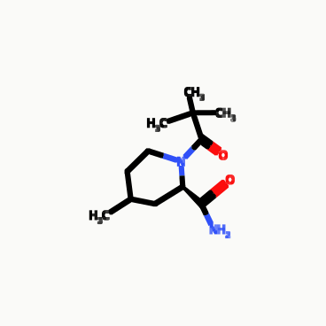 CC1CCN(C(=O)C(C)(C)C)[C@@H](C(N)=O)C1